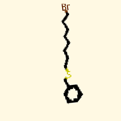 BrCCCCCCCCSCc1ccccc1